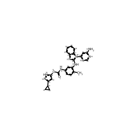 Cc1ccc(NC(=O)Oc2cc(C3CC3)n[nH]2)cc1Nc1nc2ccccc2n1-c1cc(N)ncn1